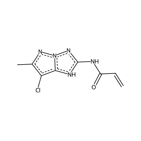 C=CC(=O)Nc1nn2nc(C)c(Cl)c2[nH]1